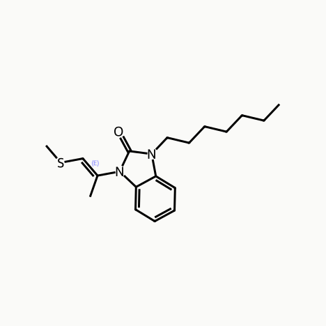 CCCCCCCn1c(=O)n(/C(C)=C/SC)c2ccccc21